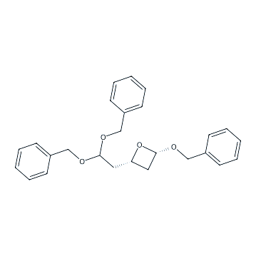 c1ccc(COC(C[C@H]2C[C@@H](OCc3ccccc3)O2)OCc2ccccc2)cc1